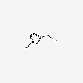 CC(C)(C)Cn1ccc(Cl)n1